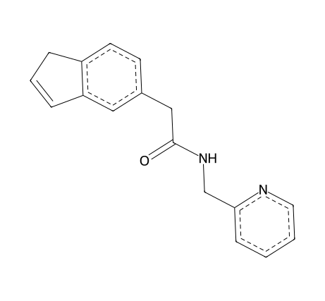 O=C(Cc1ccc2c(c1)C=CC2)NCc1ccccn1